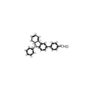 O=Cc1ccc(-c2ccc3c(c2)C2=CC=CCC2N3c2ccccc2)cc1